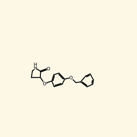 O=C1NCCC1Oc1ccc(OCc2ccccc2)cc1